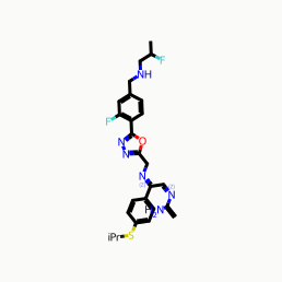 C=C(N)/N=C\C(=N/Cc1nnc(-c2ccc(CNCC(C)F)cc2F)o1)c1ccc(SC(C)C)cc1